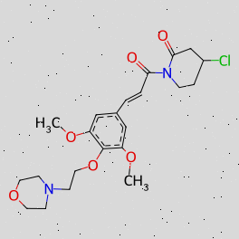 COc1cc(/C=C/C(=O)N2CCC(Cl)CC2=O)cc(OC)c1OCCN1CCOCC1